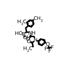 C=CC(=O)N(CC(=O)NC(Cc1ccc(C)cc1C)B(O)O)c1ccc(OC(F)(F)F)cc1